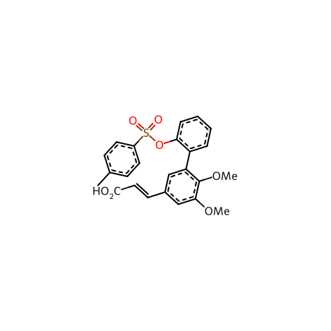 COc1cc(C=CC(=O)O)cc(-c2ccccc2OS(=O)(=O)c2ccc(C)cc2)c1OC